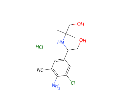 CC(C)(CO)NC(CO)c1cc(Cl)c(N)c(C#N)c1.Cl